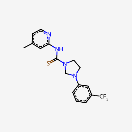 Cc1ccnc(NC(=S)N2CCN(c3cccc(C(F)(F)F)c3)C2)c1